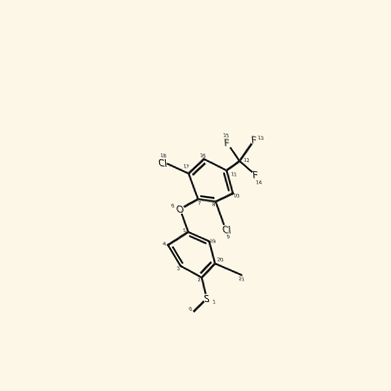 CSc1ccc(Oc2c(Cl)cc(C(F)(F)F)cc2Cl)cc1C